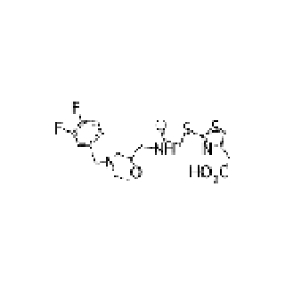 O=C(O)Cc1csc(SCC(=O)NCC2CN(Cc3ccc(F)c(F)c3)CCO2)n1